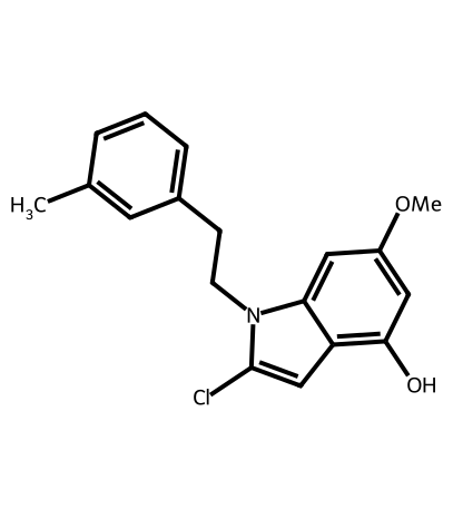 COc1cc(O)c2cc(Cl)n(CCc3cccc(C)c3)c2c1